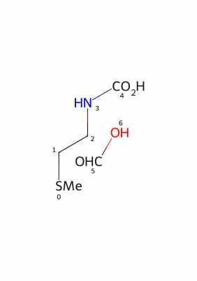 CSCCNC(=O)O.O=CO